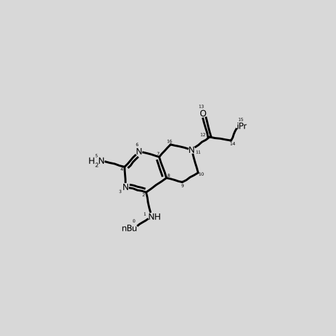 CCCCNc1nc(N)nc2c1CCN(C(=O)CC(C)C)C2